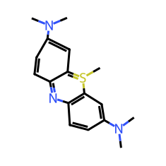 CN(C)c1ccc2c(c1)S(C)=c1cc(N(C)C)ccc1=N2